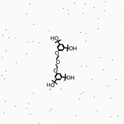 CC(C)(O)c1cc(OCCOCCOc2cc(C(C)(C)O)cc(C(C)(C)O)c2)cc(C(C)(C)O)c1